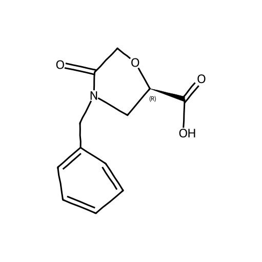 O=C(O)[C@H]1CN(Cc2ccccc2)C(=O)CO1